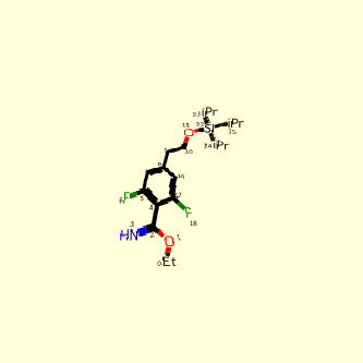 CCOC(=N)c1c(F)cc(CCO[Si](C(C)C)(C(C)C)C(C)C)cc1F